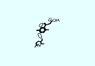 CC1=CCC(COc2cc(C)c3c(c2C)OCC3CC(=O)O)C(C)=N1